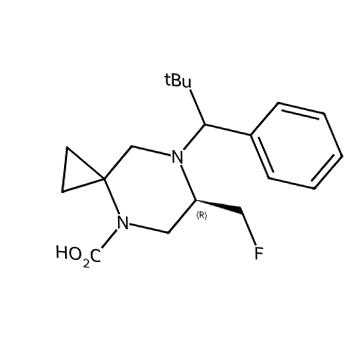 CC(C)(C)C(c1ccccc1)N1CC2(CC2)N(C(=O)O)C[C@@H]1CF